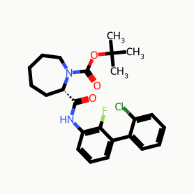 CC(C)(C)OC(=O)N1CCCCC[C@H]1C(=O)Nc1cccc(-c2ccccc2Cl)c1F